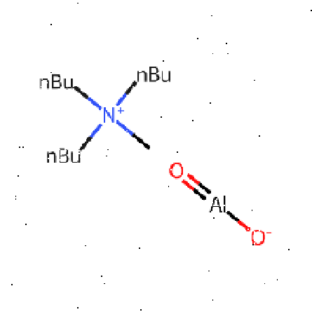 CCCC[N+](C)(CCCC)CCCC.[O]=[Al][O-]